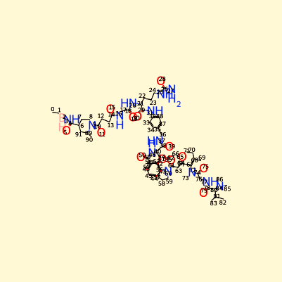 CCBNC(=O)C1CCN(C(=O)CCC(=O)NCC(=O)NC(CCCNC(N)=O)C(=O)Nc2ccc(CNC(=O)C(Cc3ccccc3)NC(=O)C(C)C(OC)C3CCCN3C(=O)C[C@@H](OC)C(C(C)CC)N(C)C(=O)CNC(=O)C(C(C)C)N(C)C)cc2)C(C)C1